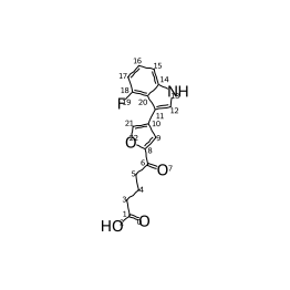 O=C(O)CCCC(=O)c1cc(-c2c[nH]c3cccc(F)c23)co1